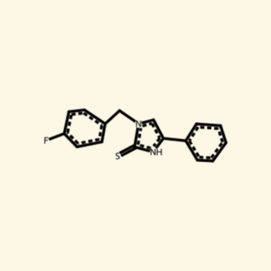 Fc1ccc(Cn2cc(-c3ccccc3)[nH]c2=S)cc1